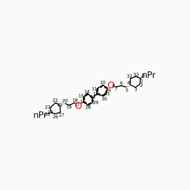 CCC[C@H]1CC[C@H](CCCOc2ccc(-c3ccc(OCCC[C@H]4CC[C@H](CCC)CC4)cc3)cc2)CC1